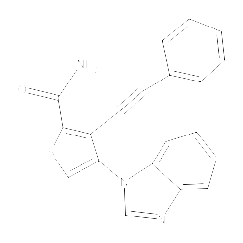 NC(=O)c1scc(-n2cnc3ccccc32)c1C#Cc1ccccc1